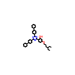 CCC(CC)CCCOc1ccc(-c2nc(-c3ccc(-c4ccccc4)cc3)nc(-c3ccc(-c4ccccc4)cc3)n2)c(O)c1